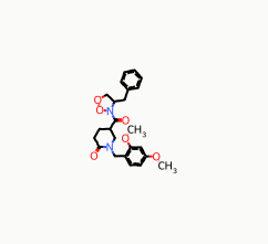 COc1ccc(CN2CC(C(=O)N3OOCC3Cc3ccccc3)CCC2=O)c(OC)c1